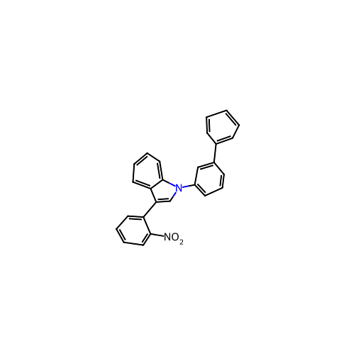 O=[N+]([O-])c1ccccc1-c1cn(-c2cccc(-c3ccccc3)c2)c2ccccc12